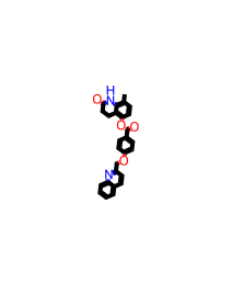 Cc1ccc(OC(=O)c2ccc(OCc3ccc4ccccc4n3)cc2)c2c1NC(=O)CC2